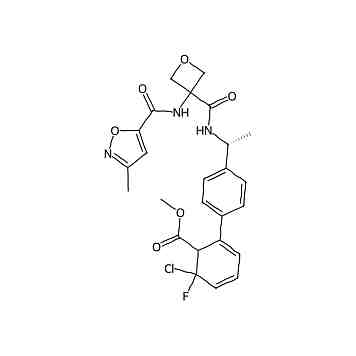 COC(=O)C1C(c2ccc([C@@H](C)NC(=O)C3(NC(=O)c4cc(C)no4)COC3)cc2)=CC=CC1(F)Cl